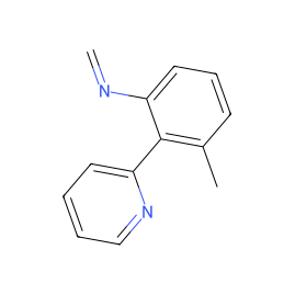 C=Nc1cccc(C)c1-c1ccccn1